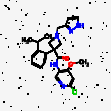 COc1cc(Cl)ncc1NC(=O)C1(c2ccccc2C(C)C)CN(Cc2cc[nH]n2)C1